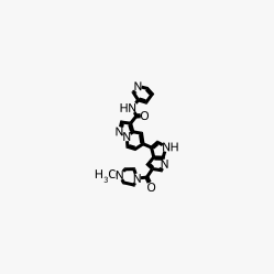 CN1CCN(C(=O)c2cnc3[nH]cc(-c4ccn5ncc(C(=O)Nc6cccnc6)c5c4)c3c2)CC1